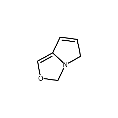 C1=CC2=COCN2C1